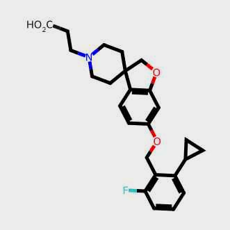 O=C(O)CCN1CCC2(CC1)COc1cc(OCc3c(F)cccc3C3CC3)ccc12